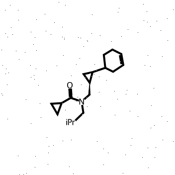 CC(C)CN(C[C@H]1CC1C1CC=CCC1)C(=O)C1CC1